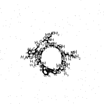 CC[C@H](C)[C@H](NC(=O)CNC)C(=O)N[C@H]1CSSC(C)(C)[C@@H](C(=O)N[C@H](C(=O)N2CCC[C@H]2C(N)=O)[C@@H](C)CC)NC(=O)[C@H]([C@@H](C)CC)NC(=O)[C@@H]2C[C@@H]3CCCC[C@@H]3N2C(=O)[C@@H]2CCCN2C(=O)[C@H](CC(C)C)NC(=O)[C@H](CO)NC(=O)[C@H](CCCNC(=N)N)NC(=O)[C@H](CO)NC1=O